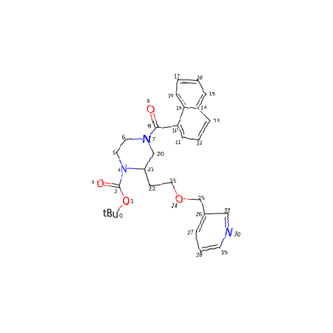 CC(C)(C)OC(=O)N1CCN(C(=O)c2cccc3ccccc23)CC1CCOCc1cccnc1